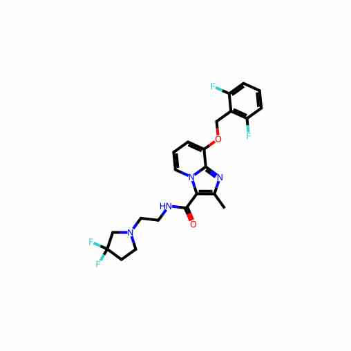 Cc1nc2c(OCc3c(F)cccc3F)cccn2c1C(=O)NCCN1CCC(F)(F)C1